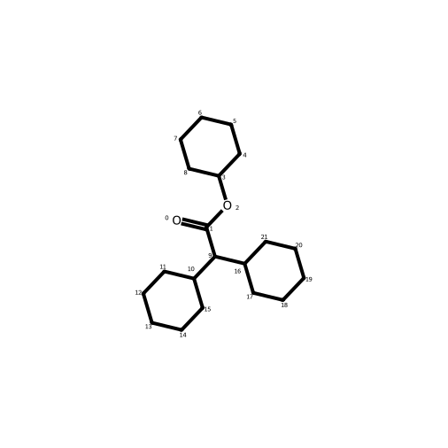 O=C(OC1CCCCC1)C(C1CCCCC1)C1CCCCC1